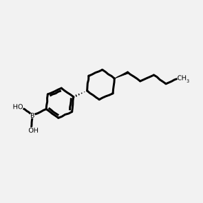 CCCCC[C@H]1CC[C@H](c2ccc(B(O)O)cc2)CC1